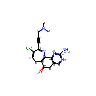 CN(C)CC#CC1=NC2=C(CC=C1Cl)C(=O)Cc1cnc(N)nc12